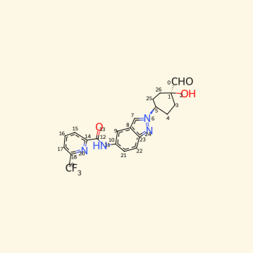 O=C[C@]1(O)CC[C@@H](n2cc3cc(NC(=O)c4cccc(C(F)(F)F)n4)ccc3n2)CC1